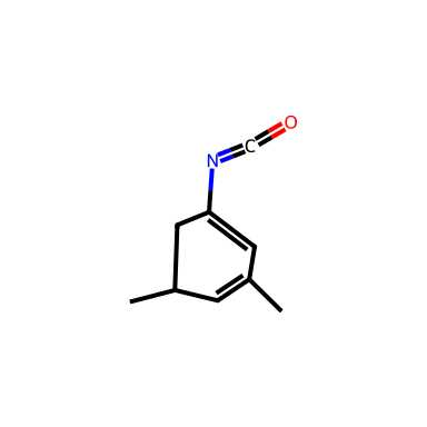 CC1=CC(C)CC(N=C=O)=C1